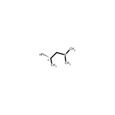 CCC[C@@H](C)CN(C)C